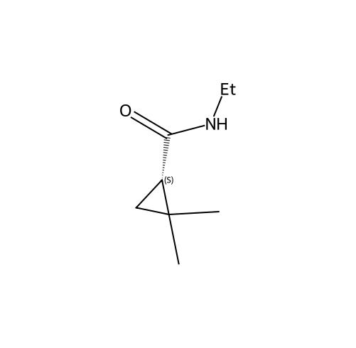 CCNC(=O)[C@H]1CC1(C)C